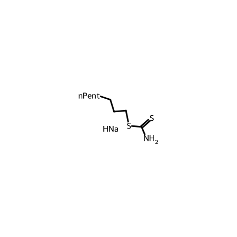 CCCCCCCCSC(N)=S.[NaH]